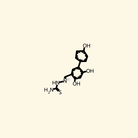 NC(=S)N/N=C/c1cc(-c2ccc(O)cc2)c(O)cc1O